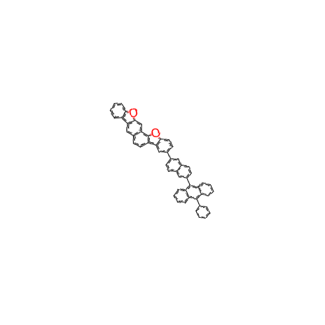 c1ccc(-c2c3ccccc3c(-c3ccc4cc(-c5ccc6oc7c8cc9oc%10ccccc%10c9cc8ccc7c6c5)ccc4c3)c3ccccc23)cc1